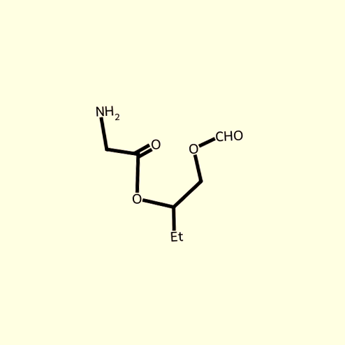 CCC(COC=O)OC(=O)CN